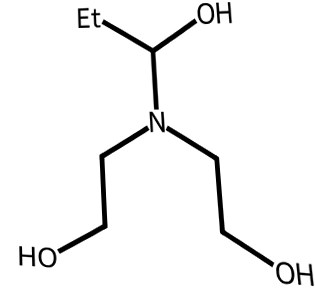 CCC(O)N(CCO)CCO